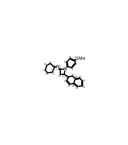 CSc1ccc(N2/C(=N/C3CCCCC3)CC2C2C=Cc3ccccc3C2)cc1